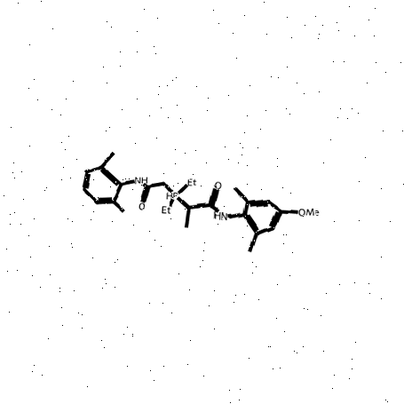 CC[PH](CC)(CC(=O)Nc1c(C)cccc1C)C(C)C(=O)Nc1c(C)cc(OC)cc1C